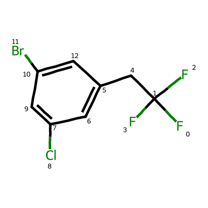 FC(F)(F)Cc1cc(Cl)cc(Br)c1